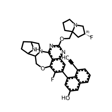 C#Cc1cccc2cc(O)cc(-c3cc4nc(OCC56CCCN5C[C@H](F)C6)nc5c4c(c3F)OCC3C4CCC(CN53)N4)c12